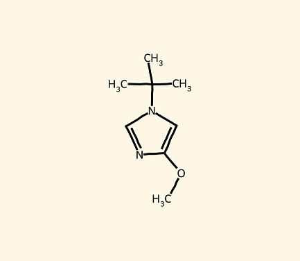 COc1cn(C(C)(C)C)cn1